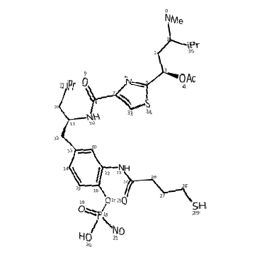 CNC(C[C@@H](OC(C)=O)c1nc(C(=O)N[C@@H](Cc2ccc(OP(=O)(O)N=O)c(NC(=O)CCCS)c2)CC(C)C)cs1)C(C)C